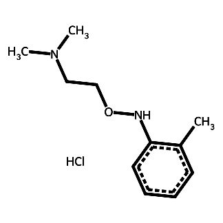 Cc1ccccc1NOCCN(C)C.Cl